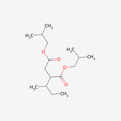 CCC(C)C(CC(=O)OCC(C)C)C(=O)OCC(C)C